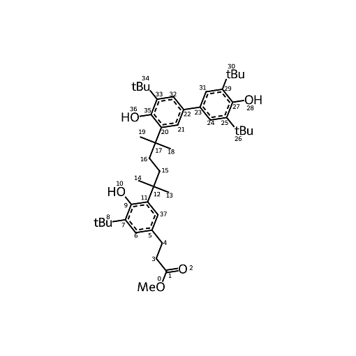 COC(=O)CCc1cc(C(C)(C)C)c(O)c(C(C)(C)CCC(C)(C)c2cc(-c3cc(C(C)(C)C)c(O)c(C(C)(C)C)c3)cc(C(C)(C)C)c2O)c1